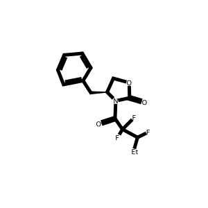 CCC(F)C(F)(F)C(=O)N1C(=O)OC[C@@H]1Cc1ccccc1